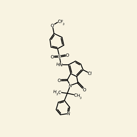 CC(C)(c1cccnc1)N1C(=O)c2c(Cl)ccc(NS(=O)(=O)c3ccc(OC(F)(F)F)cc3)c2C1=O